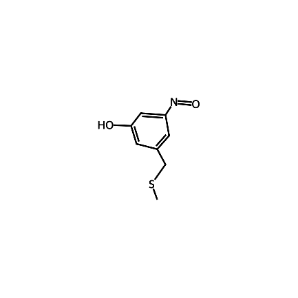 CSCc1cc(O)cc(N=O)c1